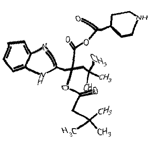 CC(C)(C)CC(=O)OC(C(=O)OC(=O)C1CCNCC1)(c1nc2ccccc2[nH]1)C(C)(C)C